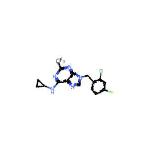 Fc1ccc(Cn2cnc3c(NC4CC4)nc(C(F)(F)F)nc32)c(Cl)c1